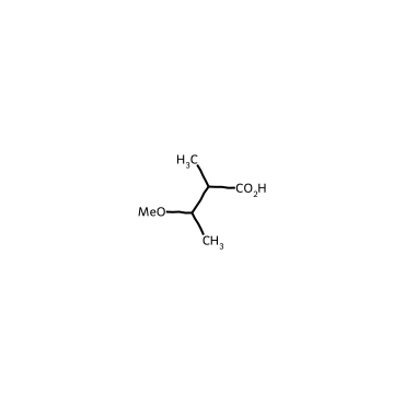 COC(C)C(C)C(=O)O